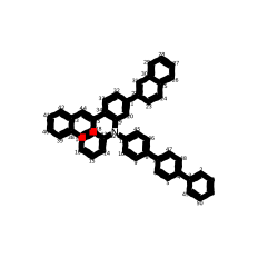 c1ccc(-c2ccc(-c3ccc(N(c4ccccc4)c4cc(-c5ccc6ccccc6c5)ccc4-c4ccc5ccccc5c4)cc3)cc2)cc1